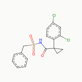 O=C(NS(=O)(=O)Cc1ccccc1)C1(c2ccc(Cl)cc2Cl)CC1